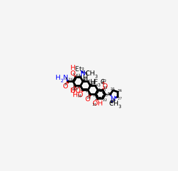 CCN(C)[C@@H]1C(O)=C(C(N)=O)C(=O)[C@@]2(O)C(O)=C3C(=O)c4c(O)cc([C@@H]5CCCN5C)c(OC(F)(F)F)c4C[C@H]3C[C@@H]12